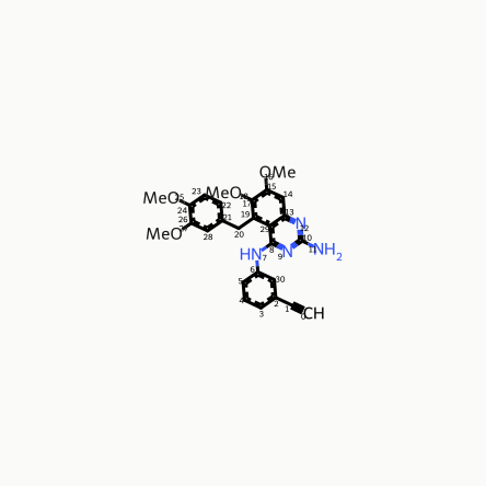 C#Cc1cccc(Nc2nc(N)nc3cc(OC)c(OC)c(Cc4ccc(OC)c(OC)c4)c23)c1